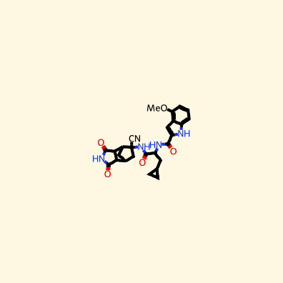 COc1cccc2[nH]c(C(=O)NC(CC3CC3)C(=O)NC3(C#N)CC4CC3C3C(=O)NC(=O)C43)cc12